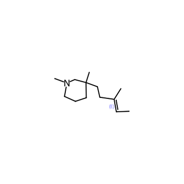 C/C=C(\C)CCC1(C)CCCN(C)C1